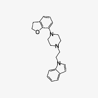 c1cc2c(c(N3CCN(CCn4ccc5ccccc54)CC3)c1)OCC2